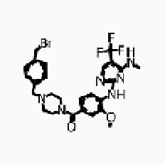 CNc1nc(Nc2ccc(C(=O)N3CCN(Cc4ccc(CBr)cc4)CC3)cc2OC)ncc1C(F)(F)F